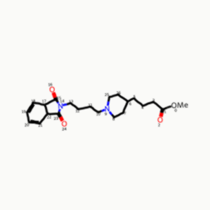 COC(=O)CCCC1CCN(CCCCN2C(=O)C3C=CC=CC3C2=O)CC1